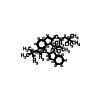 C[CH]=[Zr]([Cl])([Cl])([CH]1C(O[SiH2]CC(C)(C)C)=Cc2ccccc21)[CH]1C(O[SiH2]CC(C)(C)C)=Cc2ccccc21